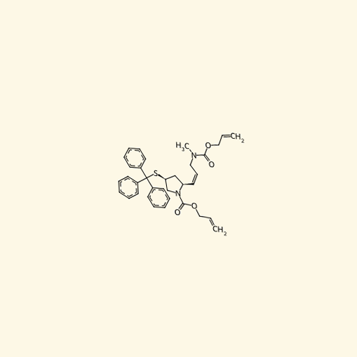 C=CCOC(=O)N(C)C/C=C\[C@@H]1C[C@H](SC(c2ccccc2)(c2ccccc2)c2ccccc2)CN1C(=O)OCC=C